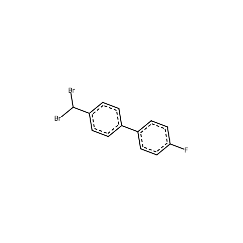 Fc1ccc(-c2ccc(C(Br)Br)cc2)cc1